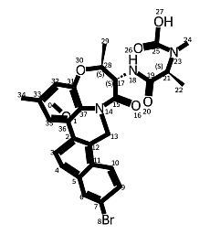 COc1ccc2cc(Br)ccc2c1CN1C(=O)[C@@H](NC(=O)[C@H](C)N(C)C(=O)O)[C@H](C)Oc2cc(C)ccc21